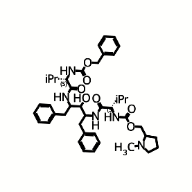 CC(C)[C@H](NC(=O)OCc1ccccc1)C(=O)NC(Cc1ccccc1)C(O)C(Cc1ccccc1)NC(=O)[C@@H](NC(=O)OCC1CCCN1C)C(C)C